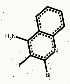 Nc1c(I)c(Br)nc2ccccc12